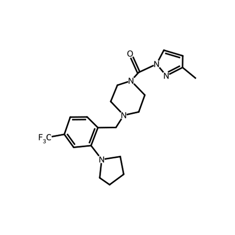 Cc1ccn(C(=O)N2CCN(Cc3ccc(C(F)(F)F)cc3N3CCCC3)CC2)n1